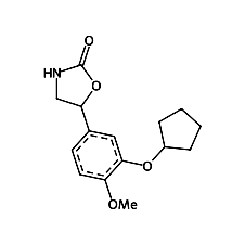 COc1ccc(C2CNC(=O)O2)cc1OC1CCCC1